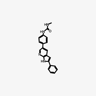 CNC(=O)Nc1ccc(-c2cnc3[nH]c(-c4ccccc4)cc3c2)cc1